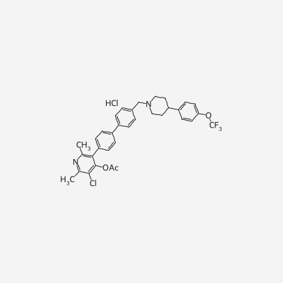 CC(=O)Oc1c(Cl)c(C)nc(C)c1-c1ccc(-c2ccc(CN3CCC(c4ccc(OC(F)(F)F)cc4)CC3)cc2)cc1.Cl